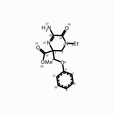 CCN1CC(COc2ccccc2)(C(=O)OC)N=C(N)C1=O